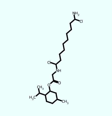 CC1CCC(C(C)C)C(OC(=O)CNC(Cl)CCCCCCCCC(N)Cl)C1